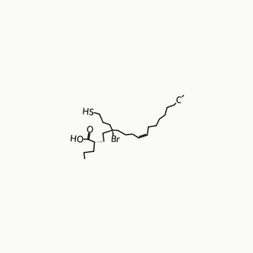 CCCCCCCC/C=C\CCC[C@@](Br)(CCCS)CC[C@H](CCC)C(=O)O